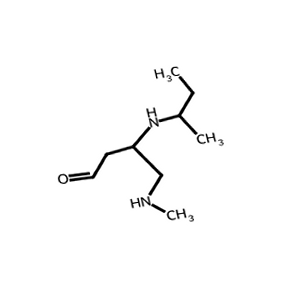 CCC(C)NC(CC=O)CNC